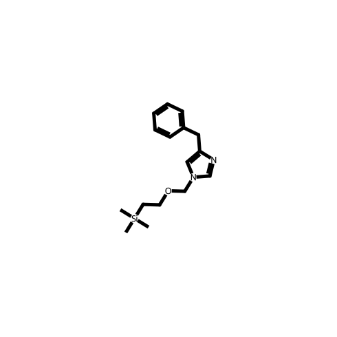 C[Si](C)(C)CCOCn1cnc(Cc2ccccc2)c1